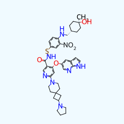 C[C@]1(O)CC[C@H](CNc2ccc(SNC(=O)c3cnc(N4CCC5(CC4)CC(N4CCCC4)C5)cc3Oc3cnc4[nH]ccc4c3)cc2[N+](=O)[O-])CC1